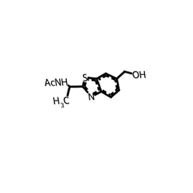 CC(=O)NC(C)c1nc2ccc(CO)cc2s1